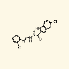 O=C(NNC=Nc1ccccc1Cl)c1cc2cc(Cl)ccc2[nH]1